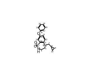 O=S1(=O)NCCN(CC2CC2)c2ccc(Oc3ccccc3)cc21